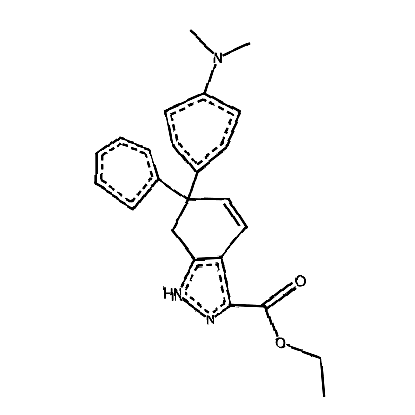 CCOC(=O)c1n[nH]c2c1C=CC(c1ccccc1)(c1ccc(N(C)C)cc1)C2